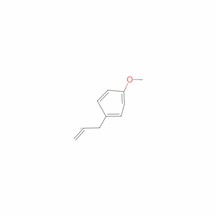 C=[C]Cc1ccc(OC)cc1